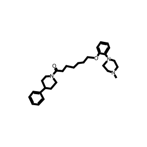 CN1CCN(c2ccccc2OCCCCCCC(=O)N2CCC(c3ccccc3)CC2)CC1